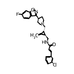 C=C1[C@H](CNC(=O)/C=C/c2cccc(Cl)c2)[C@H]1CN1CCC(c2noc3cc(F)ccc23)CC1